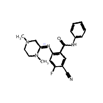 CN1CCN(C)/C(=N\c2cc(F)c(C#N)cc2C(=O)Nc2ccccc2)C1